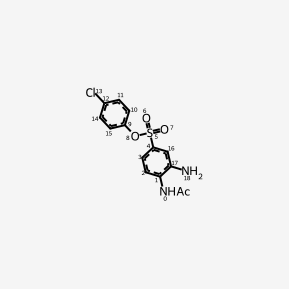 CC(=O)Nc1ccc(S(=O)(=O)Oc2ccc(Cl)cc2)cc1N